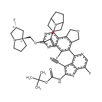 CC(C)(C)OC(=O)Nc1sc2c(F)cnc(-c3c4c(c5c(N6C7CCC6CN(C(=O)O)C7)nc(OC[C@@]67CCCN6C[C@H](F)C7)nc5c3F)COC4)c2c1C#N